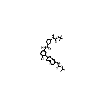 CC(C)OC(=O)Nc1cnc2nc(-c3cc(NC(=O)N4CCC(NC(=O)OC(C)(C)C)C4)ccc3Cl)cn2c1